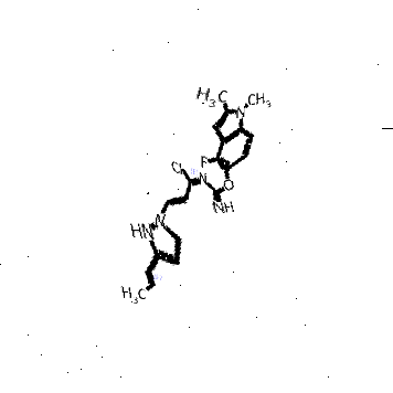 C/C=C/C1=CCN(C=C/C(Cl)=N\C(=N)Oc2ccc3c(cc(C)n3C)c2F)N1